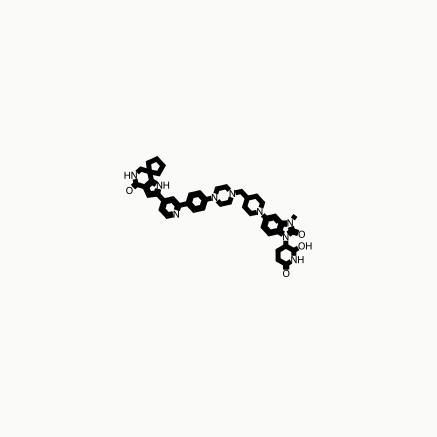 Cn1c(=O)n(C2CCC(=O)NC2O)c2ccc(N3CCC(CN4CCN(c5ccc(-c6cc(-c7cc8c([nH]7)C7(CCCC7)CNC8=O)ccn6)cc5)CC4)CC3)cc21